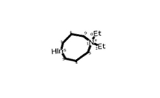 CC[N+]1(CC)CC[CH2][InH][CH2]CC1